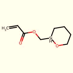 C=CC(=O)OC[SiH]1CCCCO1